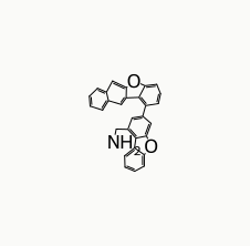 NCc1cc(-c2cccc3oc4cc5ccccc5cc4c23)cc2oc3ccccc3c12